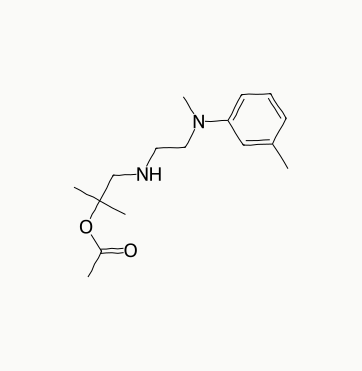 CC(=O)OC(C)(C)CNCCN(C)c1cccc(C)c1